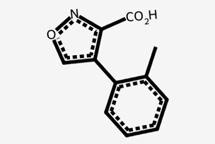 Cc1ccccc1-c1conc1C(=O)O